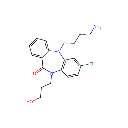 NCCCCN1c2ccccc2C(=O)N(CCCO)c2ccc(Cl)cc21